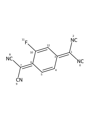 [C-]#[N+]C([N+]#[C-])=c1ccc(=C(C#N)C#N)c(F)c1